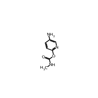 CNC(=O)Oc1ccc(N)cn1